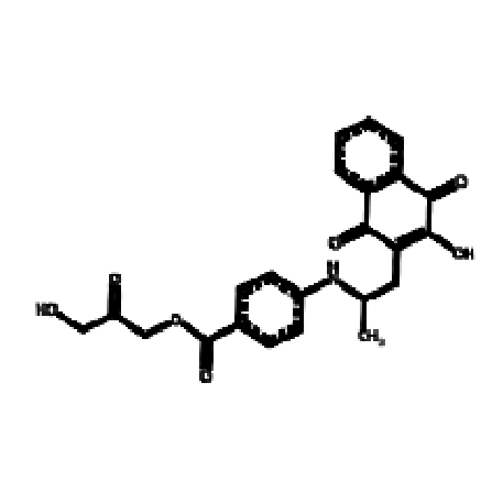 CC(CC1=C(O)C(=O)c2ccccc2C1=O)Nc1ccc(C(=O)OCC(=O)CO)cc1